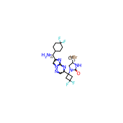 Br.N[C@H](c1cn2ncc(C3(N4CC(C(F)(F)F)NC4=O)CC(F)(F)C3)nc2n1)C1CCC(F)(F)CC1